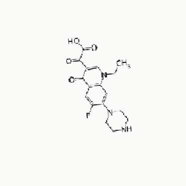 CCn1cc(C(=O)C(=O)O)c(=O)c2cc(F)c(N3CCNCC3)cc21